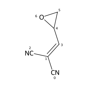 N#CC(C#N)=CC1CO1